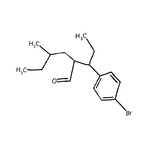 CCC(C)CC(C=O)C(CC)c1ccc(Br)cc1